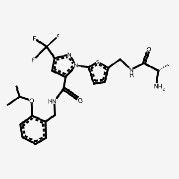 CC(C)Oc1ccccc1CNC(=O)c1cc(C(F)(F)F)nn1-c1ccc(CNC(=O)[C@H](C)N)s1